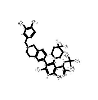 Cc1ccc(CN2CCc3cc(-c4c(C)nc(C)c(C(OC(C)(C)C)C(=O)O)c4N4CCC(C)(C)CC4)ccc3C2)cc1C